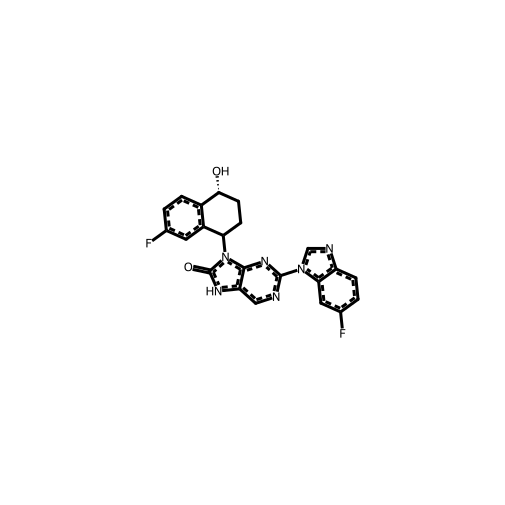 O=c1[nH]c2cnc(-n3cnc4ccc(F)cc43)nc2n1C1CC[C@@H](O)c2ccc(F)cc21